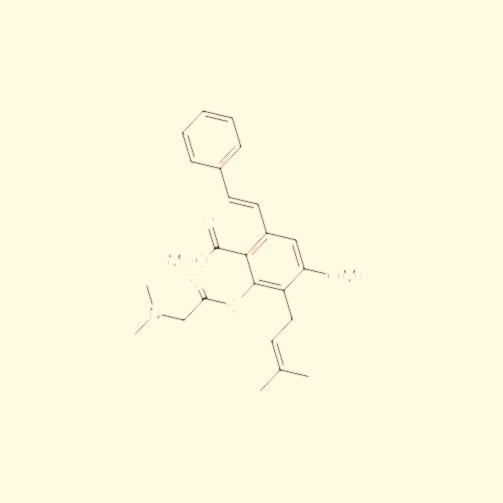 COC(=O)c1c(/C=C/c2ccccc2)cc(OC)c(CC=C(C)C)c1OC(=O)CN(C)C